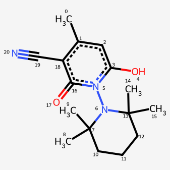 Cc1cc(O)n(N2C(C)(C)CCCC2(C)C)c(=O)c1C#N